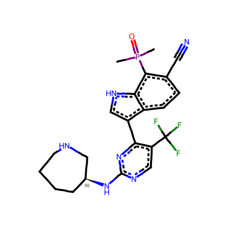 CP(C)(=O)c1c(C#N)ccc2c(-c3nc(N[C@H]4CCCCNC4)ncc3C(F)(F)F)c[nH]c12